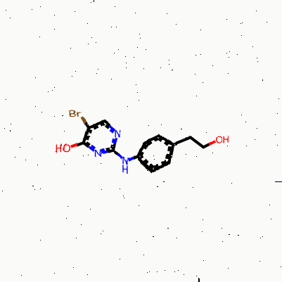 OCCc1ccc(Nc2ncc(Br)c(O)n2)cc1